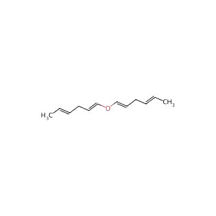 C/C=C/CC=COC=CC/C=C/C